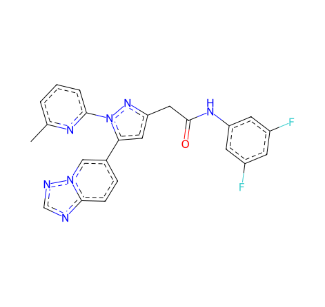 Cc1cccc(-n2nc(CC(=O)Nc3cc(F)cc(F)c3)cc2-c2ccc3ncnn3c2)n1